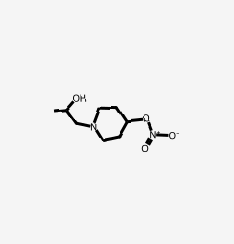 CC(O)CN1CCC(O[N+](=O)[O-])CC1